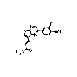 N#Cc1ccc(-c2cnc3[nH]cc(/C=C/C(N)=O)c3n2)cc1F